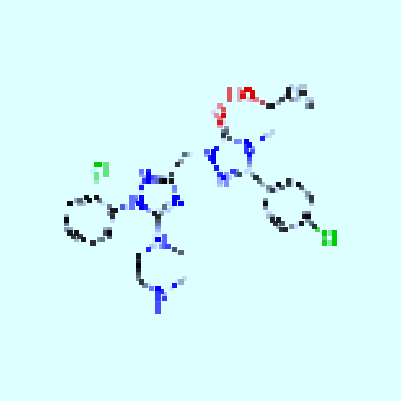 O=c1n(Cc2nc(N3CCNCC3)n(-c3ccccc3Cl)n2)nc(-c2ccc(Cl)cc2)n1CC(O)C(F)(F)F